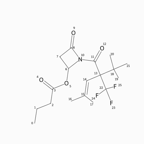 CCCC(=O)OC1CC(=O)N1C(=O)C(C=C(C)C)(C(C)(C)C)C(F)(F)F